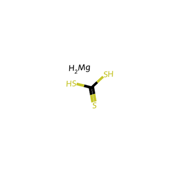 S=C(S)S.[MgH2]